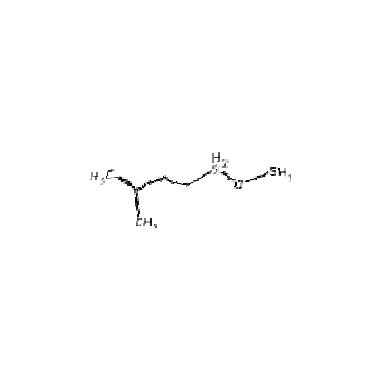 CC(C)CC[SiH2]O[SiH3]